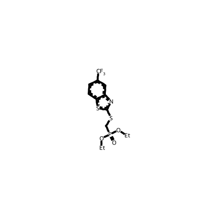 CCOP(=O)(CSc1nc2cc(C(F)(F)F)ccc2s1)OCC